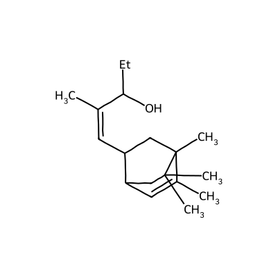 CCC(O)C(C)=CC1CC2(C)C(C)=CC1CC2(C)C